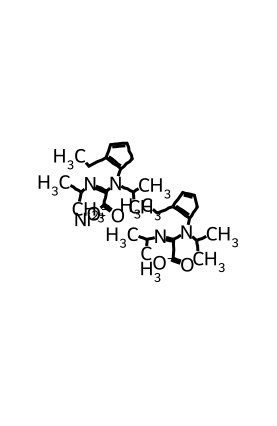 CCC1=C(N(C(=NC(C)C)C(=O)[O-])C(C)C)CC=C1.CCC1=C(N(C(=NC(C)C)C(=O)[O-])C(C)C)CC=C1.[Ni+2]